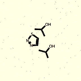 CC(C)O.CC(C)O.c1csnn1